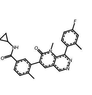 Cc1ccc(C(=O)NC2CC2)cc1-c1cc2cnnc(-c3ccc(F)cc3C)c2n(C)c1=O